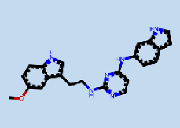 COc1ccc2[nH]cc(CCNc3nccc(Nc4ccc5cc[nH]c5c4)n3)c2c1